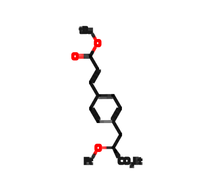 CCOC(=O)[C@H](Cc1ccc(/C=C/C(=O)OC(C)(C)C)cc1)OCC